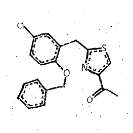 CC(=O)c1csc(Cc2cc(Cl)ccc2OCc2ccccc2)n1